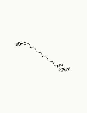 CCCCCCCCCCCCCCCCCCCCNCCCCC